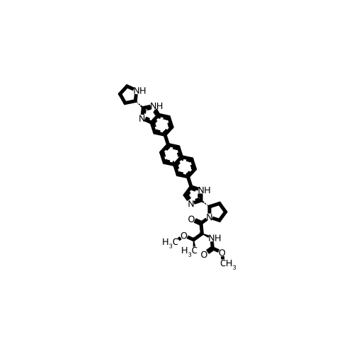 COC(=O)N[C@H](C(=O)N1CCC[C@H]1c1ncc(-c2ccc3cc(-c4ccc5[nH]c([C@@H]6CCCN6)nc5c4)ccc3c2)[nH]1)[C@@H](C)OC